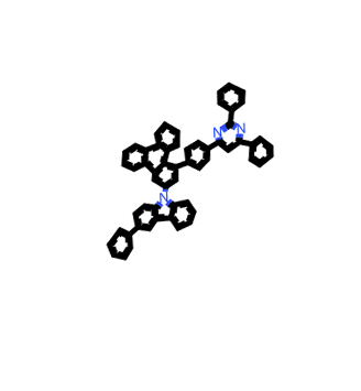 c1ccc(-c2ccc3c(c2)c2ccccc2n3-c2cc(-c3ccc(-c4cc(-c5ccccc5)nc(-c5ccccc5)n4)cc3)c3c4ccccc4c4ccccc4c3c2)cc1